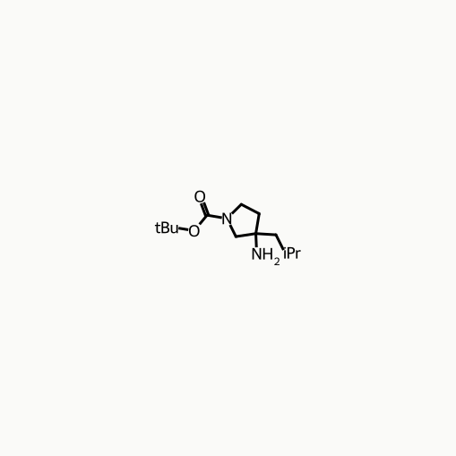 CC(C)CC1(N)CCN(C(=O)OC(C)(C)C)C1